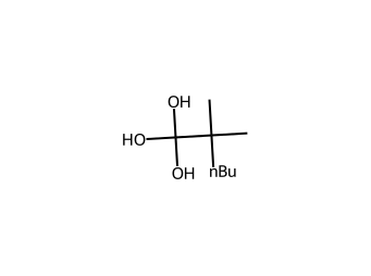 CCCCC(C)(C)C(O)(O)O